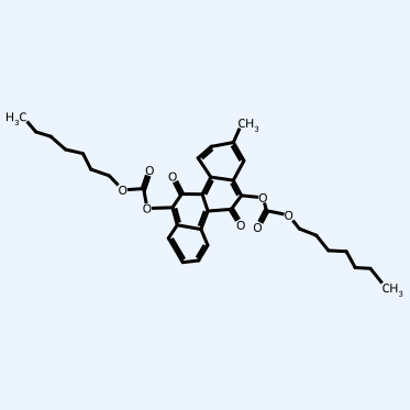 CCCCCCCOC(=O)OC1=c2ccccc2=C2C(=O)C(OC(=O)OCCCCCCC)=c3cc(C)ccc3=C2C1=O